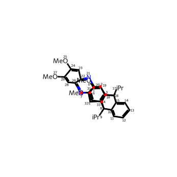 COc1cc2c(cc1OC)C1(C(C)C)c3ccccc3C2(C(C)C)c2cc3nc4cc(OC)c(OC)cc4nc3cc21